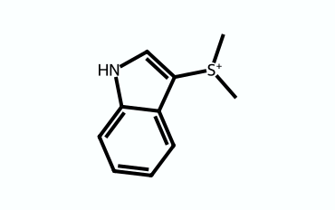 C[S+](C)c1c[nH]c2ccccc12